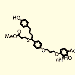 CCCc1c(OCCCOc2ccc(C(CCCc3ccc(O)cc3)SCCC(=O)OC)cc2)ccc(C(C)=O)c1O